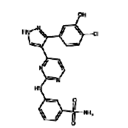 NS(=O)(=O)c1cccc(Nc2nccc(-c3c[nH]nc3-c3ccc(Cl)c(O)c3)n2)c1